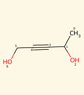 CC(O)C#CCO